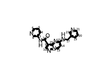 O=C(Nc1cccnc1)c1cnn2ccc(NCc3cccnc3)nc12